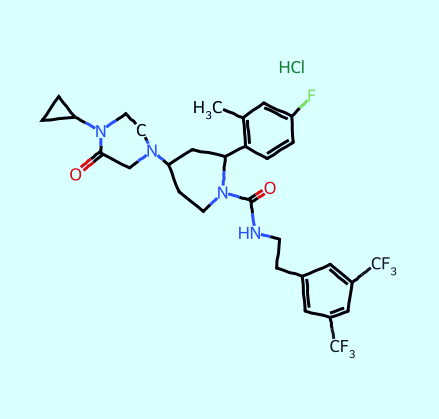 Cc1cc(F)ccc1C1CC(N2CCN(C3CC3)C(=O)C2)CCN1C(=O)NCCc1cc(C(F)(F)F)cc(C(F)(F)F)c1.Cl